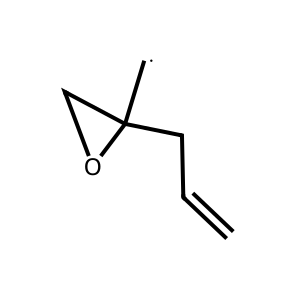 [CH2]C1(CC=C)CO1